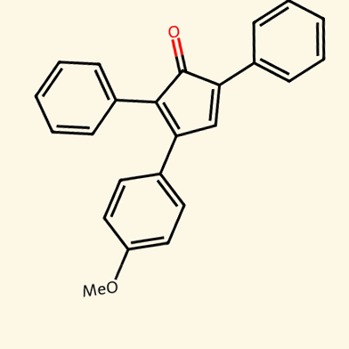 COc1ccc(C2=C(c3ccccc3)C(=O)C(c3ccccc3)=C2)cc1